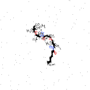 CCCCCCCCCCCCCCCC(=O)NCC(C)(C)COCC(C)(C)CC(=O)NCC(C)(C)COCC(C)(C)CC(=O)O